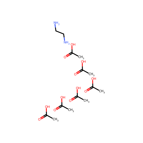 CC(=O)O.CC(=O)O.CC(=O)O.CC(=O)O.CC(=O)O.CC(=O)O.NCCN